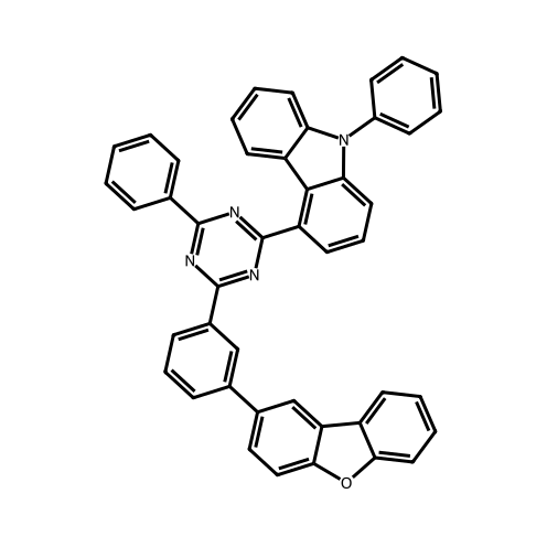 c1ccc(-c2nc(-c3cccc(-c4ccc5oc6ccccc6c5c4)c3)nc(-c3cccc4c3c3ccccc3n4-c3ccccc3)n2)cc1